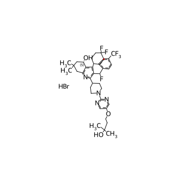 Br.CC(C)(O)CCOc1cnc(N2CCC(c3nc4c(c(C5CCC(F)(F)CC5)c3C(F)c3ccc(C(F)(F)F)cc3)[C@@H](O)CC(C)(C)C4)CC2)nc1